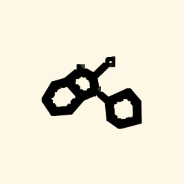 Clc1nc2ccccc2n1-c1ccccc1